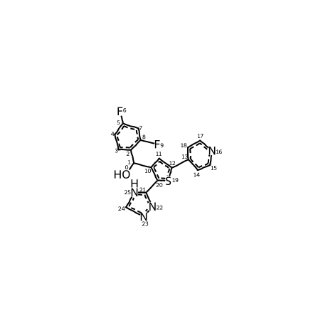 OC(c1ccc(F)cc1F)c1cc(-c2ccncc2)sc1-c1nnc[nH]1